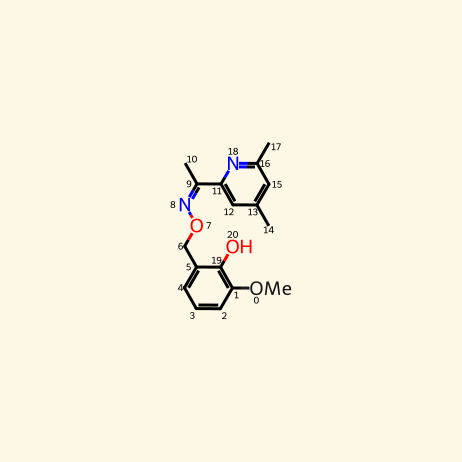 COc1cccc(CON=C(C)c2cc(C)cc(C)n2)c1O